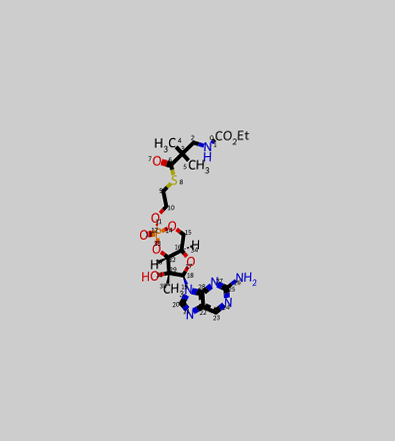 CCOC(=O)NCC(C)(C)C(=O)SCCO[P@]1(=O)OC[C@H]2O[C@@H](n3cnc4cnc(N)nc43)[C@](C)(O)[C@@H]2O1